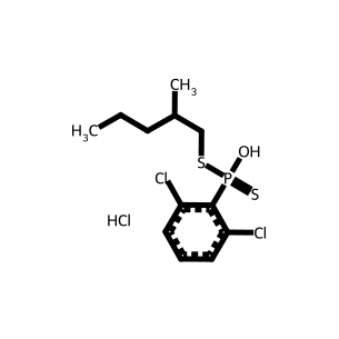 CCCC(C)CSP(O)(=S)c1c(Cl)cccc1Cl.Cl